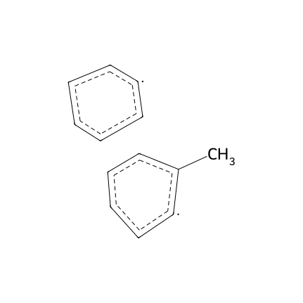 Cc1[c]cccc1.[c]1ccccc1